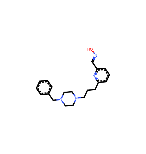 O/N=C/c1cccc(CCCN2CCN(Cc3ccccc3)CC2)n1